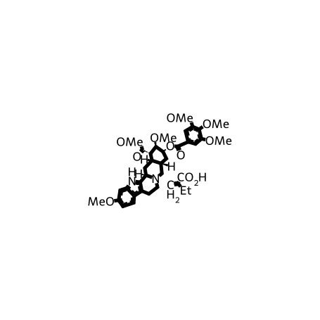 C=C(CC)C(=O)O.COC(=O)[C@H]1[C@H]2C[C@@H]3c4[nH]c5cc(OC)ccc5c4CCN3C[C@H]2C[C@@H](OC(=O)c2cc(OC)c(OC)c(OC)c2)[C@@H]1OC